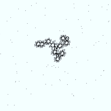 c1cc(-c2ccc(N(c3ccc(-c4cccc5oc6ccccc6c45)cc3)c3cccc(-n4c5ccccc5c5ccccc54)c3)cc2)cc(-c2ccc3ccccc3c2)c1